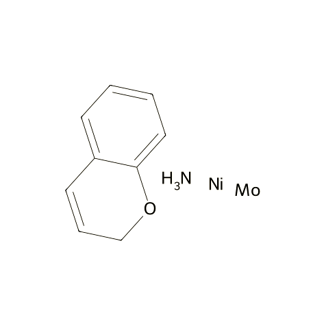 C1=Cc2ccccc2OC1.N.[Mo].[Ni]